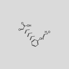 C=CC.C=CC.C=CC.C=CC.O.O=CC(=O)O.Oc1ccccc1